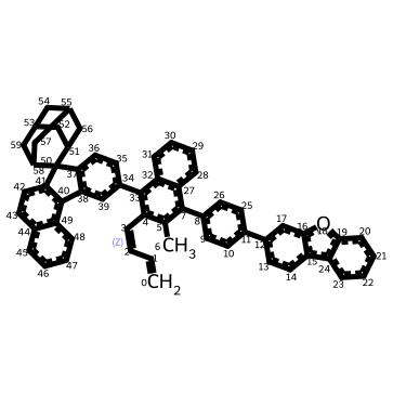 C=C/C=C\c1c(C)c(-c2ccc(-c3ccc4c(c3)oc3ccccc34)cc2)c2ccccc2c1-c1ccc2c(c1)-c1c(ccc3ccccc13)C21C2CC3CC(C2)CC1C3